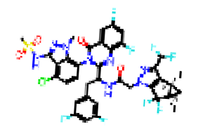 Cn1nc(NS(C)(=O)=O)c2c(Cl)ccc(-n3c(C(Cc4cc(F)cc(F)c4)NC(=O)Cn4nc(C(F)F)c5c4C(F)(F)[C@@H]4C[C@H]54)nc4c(F)cc(F)cc4c3=O)c21